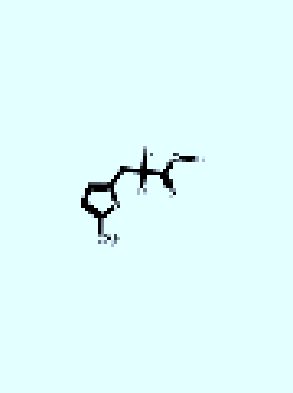 CCC(CC)(Cc1ccc(C(=O)O)s1)C(=O)OC(C)(C)C